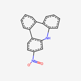 O=[N+]([O-])c1ccc2c(c1)Nc1ccccc1-c1ccccc1-2